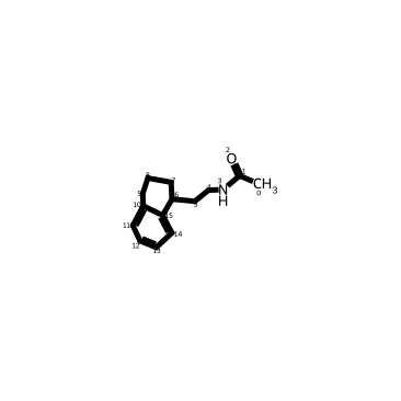 CC(=O)NCCC1CCCc2cc[c]cc21